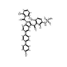 CCCS(=O)(=O)Nc1ccc(F)c(C(=O)c2cn(C(=O)c3c(Cl)cccc3Cl)c3ncc(-c4ccc(-c5ccc(Cl)cc5)cc4)cc23)c1I